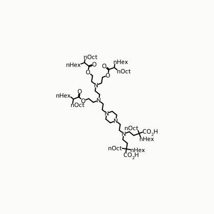 CCCCCCCCC(CCCCCC)C(=O)OCCN(CCOC(=O)C(CCCCCC)CCCCCCCC)CCN(CCOC(=O)C(CCCCCC)CCCCCCCC)CCN1CCN(CCN(CCC(CCCCCC)(CCCCCCCC)C(=O)O)CCC(CCCCCC)(CCCCCCCC)C(=O)O)CC1